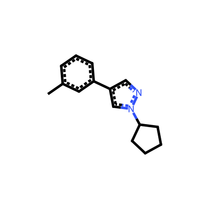 Cc1cccc(-c2cnn(C3CCCC3)c2)c1